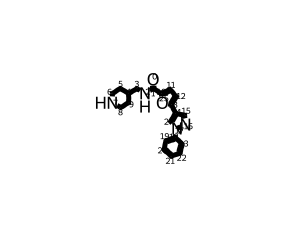 O=C(NCC1CCNCC1)c1ccc(-c2cnn(-c3ccccc3)c2)o1